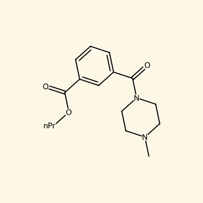 CCCOC(=O)c1cccc(C(=O)N2CCN(C)CC2)c1